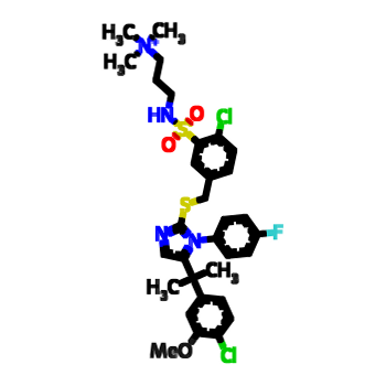 COc1cc(C(C)(C)c2cnc(SCc3ccc(Cl)c(S(=O)(=O)NCCC[N+](C)(C)C)c3)n2-c2ccc(F)cc2)ccc1Cl